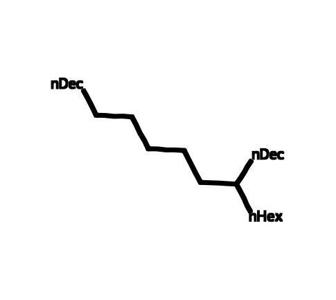 [CH2]CCCCCC(CCCCCCCCCC)CCCCCCCCCCCCCCC